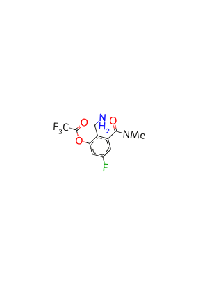 CNC(=O)c1cc(F)cc(OC(=O)C(F)(F)F)c1CN